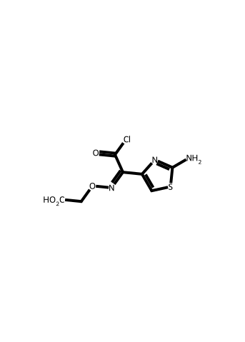 Nc1nc(C(=NOCC(=O)O)C(=O)Cl)cs1